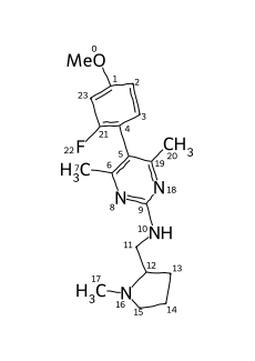 COc1ccc(-c2c(C)nc(NCC3CCCN3C)nc2C)c(F)c1